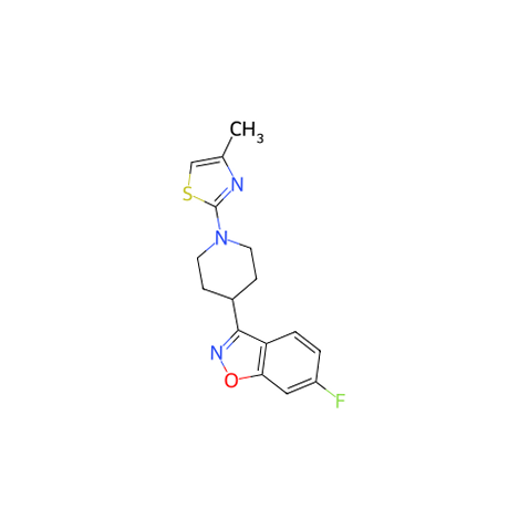 Cc1csc(N2CCC(c3noc4cc(F)ccc34)CC2)n1